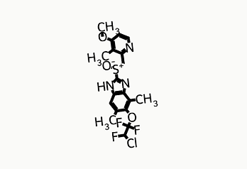 COc1ccnc(C[S+]([O-])c2nc3c(C)c(OC(F)(F)C(F)Cl)c(C)cc3[nH]2)c1C